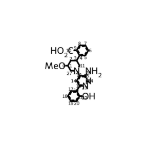 COC1CC(c2ccccc2C(=O)O)CN(c2cc(-c3ccccc3O)nnc2N)C1